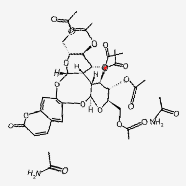 CC(=O)OC[C@H]1O[C@H]2Oc3cc4oc(=O)ccc4cc3O[C@@H]3O[C@H](COC(C)=O)[C@@H](OC(C)=O)[C@H](OC(C)=O)[C@H]3[C@H]2[C@@H](OC(C)=O)[C@@H]1OC(C)=O.CC(N)=O.CC(N)=O